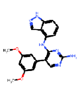 COc1cc(OC)cc(-c2cnc(N)nc2Nc2cccc3[nH]ncc23)c1